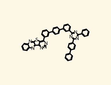 c1ccc(-c2ccc(-c3nc(-c4ccccc4)nc(-c4cccc(-c5ccc(-c6cccc(-c7nnnc8c7sc7nc9ccccc9nc78)c6)cc5)c4)n3)cc2)cc1